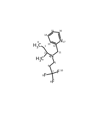 CCC(C)N(CCC(F)(F)F)Cc1ccccn1